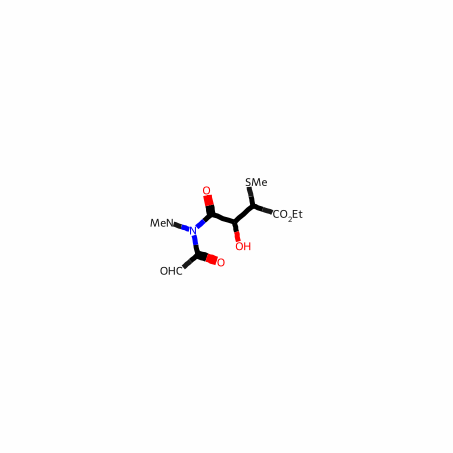 CCOC(=O)C(SC)C(O)C(=O)N(NC)C(=O)C=O